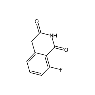 O=C1Cc2cccc(F)c2C(=O)N1